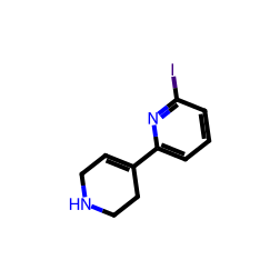 Ic1cccc(C2=CCNCC2)n1